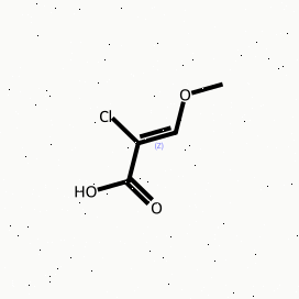 CO/C=C(\Cl)C(=O)O